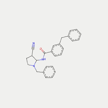 N#CC1CCN(Cc2ccccc2)C1NC(=O)c1cccc(Cc2ccccc2)c1